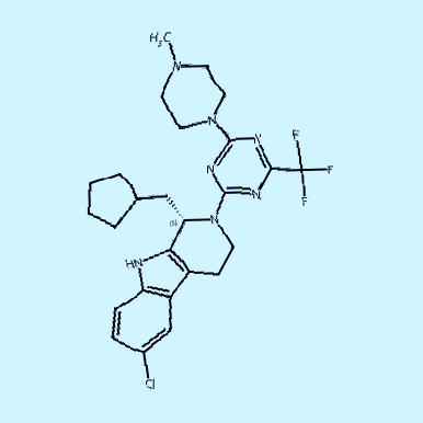 CN1CCN(c2nc(N3CCc4c([nH]c5ccc(Cl)cc45)[C@@H]3CC3CCCC3)nc(C(F)(F)F)n2)CC1